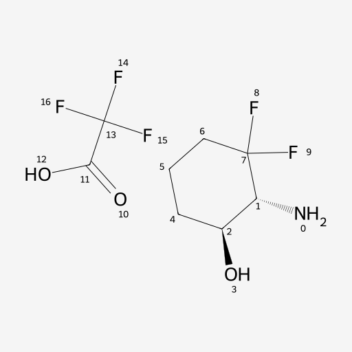 N[C@@H]1[C@@H](O)CCCC1(F)F.O=C(O)C(F)(F)F